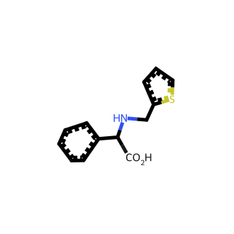 O=C(O)C(NCc1cccs1)c1ccccc1